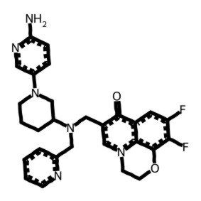 Nc1ccc(N2CCCC(N(Cc3ccccn3)Cc3cn4c5c(c(F)c(F)cc5c3=O)OCC4)C2)cn1